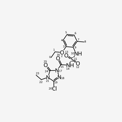 CCOc1cccc(C)c1NS(=O)(=O)NC(=O)n1nc(Cl)n(CC)c1=O